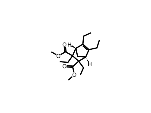 CCC1=C(CC)[C@@H]2C[C@@H]1C(CC)(C(=O)OC)C2(CC)C(=O)OC